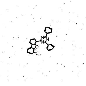 Clc1cccc2c1oc1c(-c3nc(-c4ccccc4)nc(-c4ccccc4)n3)cccc12